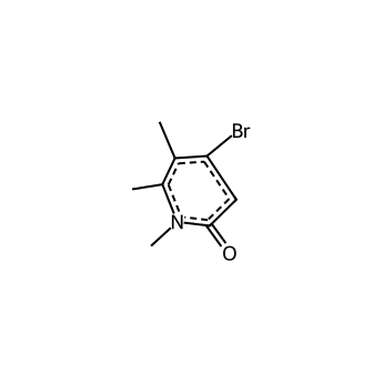 Cc1c(Br)cc(=O)n(C)c1C